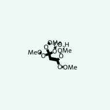 COOC(=CC(OOC)(OOC)OC(=O)O)OOC